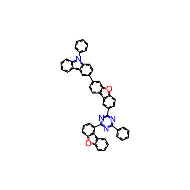 c1ccc(-c2nc(-c3ccc4oc5cc(-c6ccc7c(c6)c6ccccc6n7-c6ccccc6)ccc5c4c3)nc(-c3cccc4oc5ccccc5c34)n2)cc1